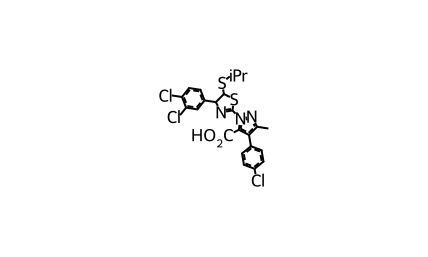 Cc1nn(C2=NC(c3ccc(Cl)c(Cl)c3)C(SC(C)C)S2)c(C(=O)O)c1-c1ccc(Cl)cc1